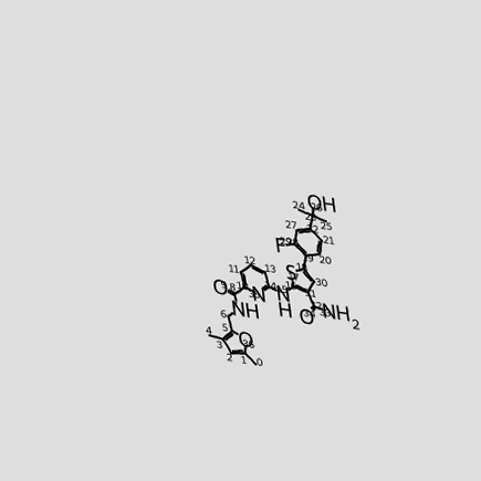 Cc1cc(C)c(CNC(=O)c2cccc(Nc3sc(-c4ccc(C(C)(C)O)cc4F)cc3C(N)=O)n2)o1